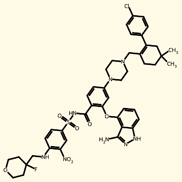 CC1(C)CCC(CN2CCN(c3ccc(C(=O)NS(=O)(=O)c4ccc(NCC5(F)CCOCC5)c([N+](=O)[O-])c4)c(Oc4cccc5[nH]nc(N)c45)c3)CC2)=C(c2ccc(Cl)cc2)C1